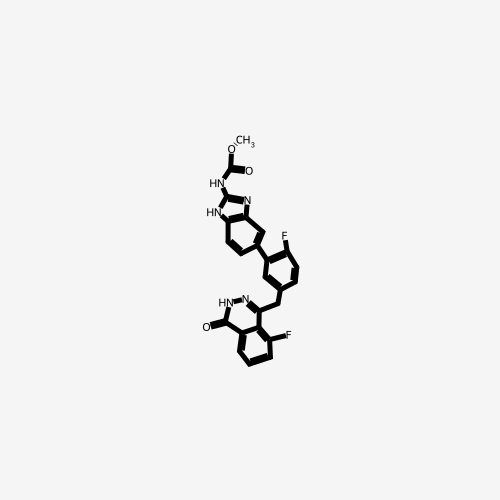 COC(=O)Nc1nc2cc(-c3cc(Cc4n[nH]c(=O)c5cccc(F)c45)ccc3F)ccc2[nH]1